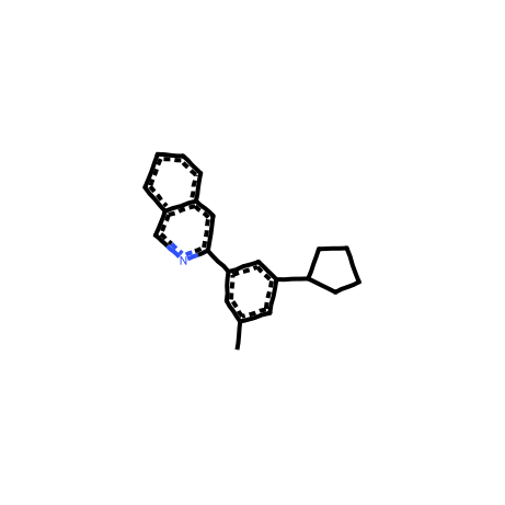 Cc1cc(-c2cc3ccccc3cn2)cc(C2CCCC2)c1